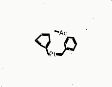 CC(C)=O.[CH](=[Pt]=[CH]c1ccccc1)c1ccccc1